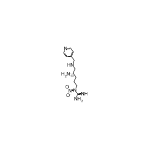 N=C(N)N(CCC[C@H](N)CNCc1ccncc1)[N+](=O)[O-]